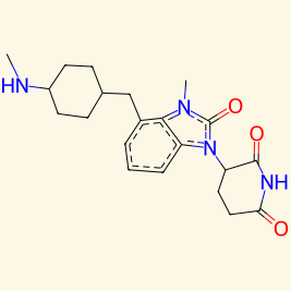 CNC1CCC(Cc2cccc3c2n(C)c(=O)n3C2CCC(=O)NC2=O)CC1